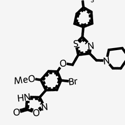 COc1cc(OCc2sc(-c3ccc(C(F)(F)F)cc3)nc2CN2CCCCC2)c(Br)cc1-c1noc(=O)[nH]1